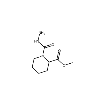 COC(=O)C1CCCCN1C(=O)NN